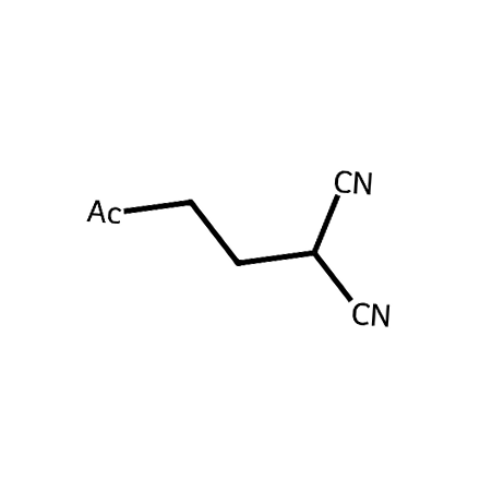 CC(=O)CCC(C#N)C#N